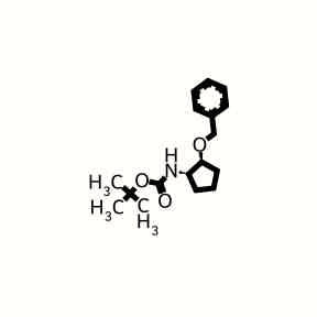 CC(C)(C)OC(=O)N[C@H]1CCC[C@@H]1OCc1ccccc1